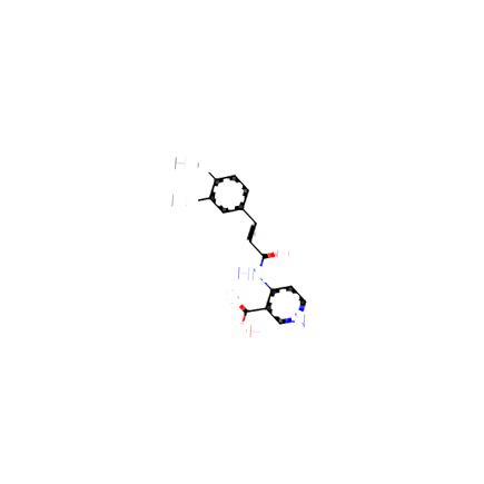 Cc1ccc(/C=C/C(=O)Nc2ccncc2C(=O)O)cc1C